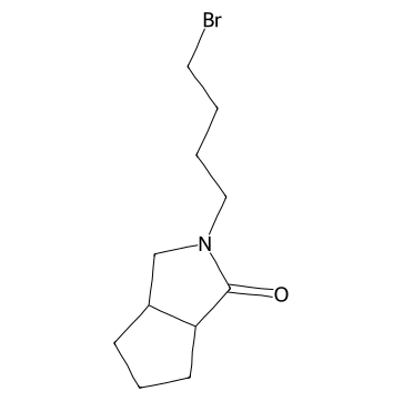 O=C1C2CCCC2CN1CCCCBr